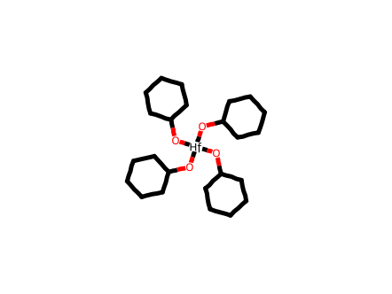 C1CCC([O][Hf]([O]C2CCCCC2)([O]C2CCCCC2)[O]C2CCCCC2)CC1